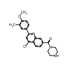 COc1ccc(-c2cc(Cl)c3ccc(C(=O)N4CCNCC4)cc3n2)cc1C